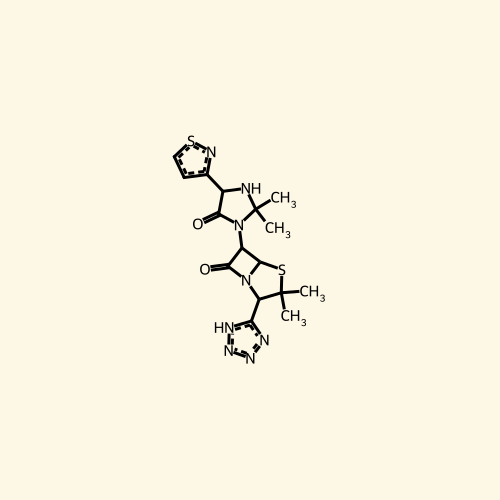 CC1(C)SC2C(N3C(=O)C(c4ccsn4)NC3(C)C)C(=O)N2C1c1nnn[nH]1